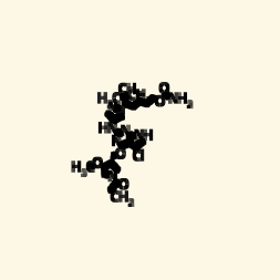 C=CC(=O)N1C[C@H](COc2nc(Nc3cnn(C(CCCCOC(N)=O)C(C)(C)C)c3)nc3[nH]cc(Cl)c23)[C@@H](OC)C1